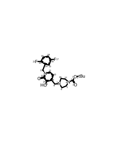 CC(C)(C)OC(=O)N1CCN(Cc2ccn(Cc3cc(F)ccc3F)c(=O)c2O)CC1